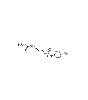 CC(C)(C)c1ccc(NC(=O)CCCCCNC(=O)CS)cc1